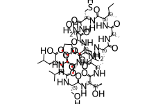 CC[C@H](C)[C@H](NC(=O)[C@H](C)NC(=O)[C@H](C)N)C(=O)N[C@@H](CS)C(=O)N[C@@H](CO)C(=O)N[C@@H](CC(C)C)C(=O)N1CCC[C@H]1C(=O)N[C@H](C(=O)N[C@@H](CO)C(=O)N[C@H](C(=O)N[C@@H](C)C(=O)N[C@@H](CCC(N)=O)C(=O)N[C@@H](C)C(=O)N[C@@H](CC(C)C)C(=O)O)[C@@H](C)O)C(C)C